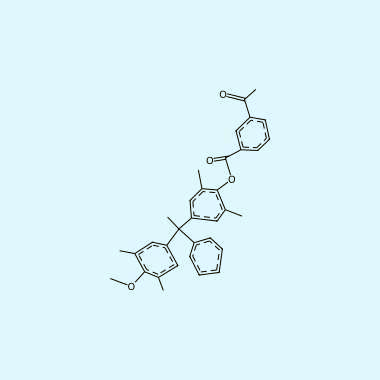 COc1c(C)cc(C(C)(c2ccccc2)c2cc(C)c(OC(=O)c3cccc(C(C)=O)c3)c(C)c2)cc1C